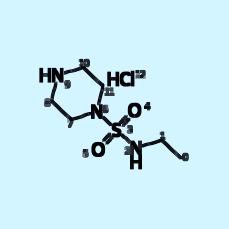 CCNS(=O)(=O)N1CCNCC1.Cl